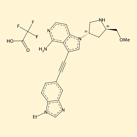 CCn1cnc2cc(C#Cc3cn([C@@H]4CN[C@@H](COC)C4)c4ccnc(N)c34)ccc21.O=C(O)C(F)(F)F